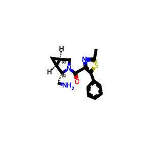 Cc1nc(C(=O)N2C[C@@H]3C[C@@H]3[C@H]2CN)c(-c2ccccc2)s1